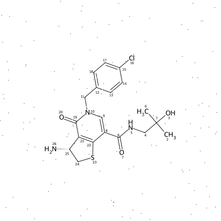 CC(C)(O)CNC(=O)c1cn(Cc2ccc(Cl)cc2)c(=O)c2c1SC[C@@H]2N